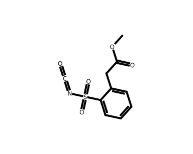 COC(=O)Cc1ccccc1S(=O)(=O)N=C=O